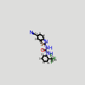 N#Cc1ccc2nc(NC(=O)Nc3ccccc3C(F)(F)F)sc2c1